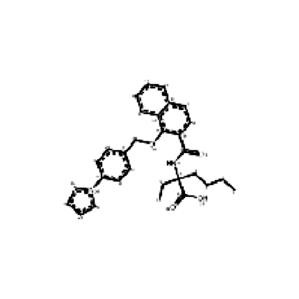 CCCCC(CC)(NC(=O)c1ccc2ccccc2c1OCc1ccc(-n2cccn2)cc1)C(=O)O